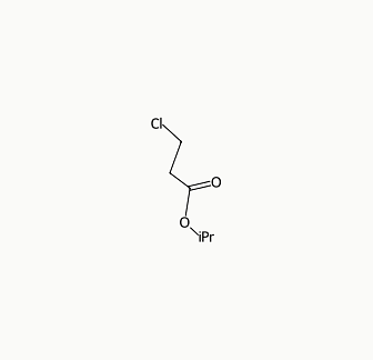 CC(C)OC(=O)CCCl